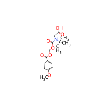 COc1ccc(C(=O)OCOC(=O)N(CC(=O)O)C(C)(C)C)cc1